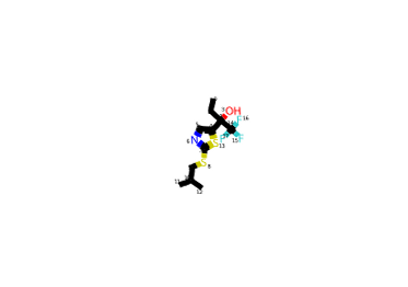 CCC(O)(c1cnc(SCC(C)C)s1)C(F)(F)F